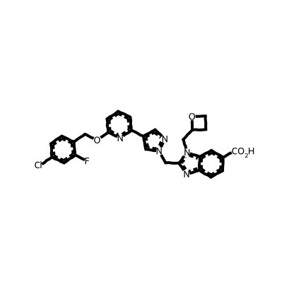 O=C(O)c1ccc2nc(Cn3cc(-c4cccc(OCc5ccc(Cl)cc5F)n4)cn3)n(CC3CCO3)c2c1